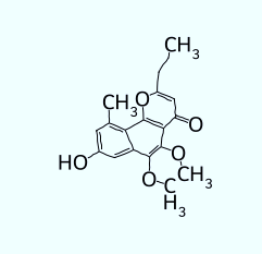 CCCc1cc(=O)c2c(OC)c(OC)c3cc(O)cc(C)c3c2o1